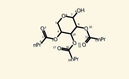 CCCC(=O)OC1COC(O)C(OC(=O)CCC)C1OC(=O)CCC